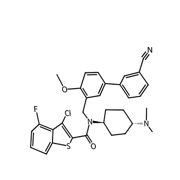 COc1ccc(-c2cccc(C#N)c2)cc1CN(C(=O)c1sc2cccc(F)c2c1Cl)[C@H]1CC[C@H](N(C)C)CC1